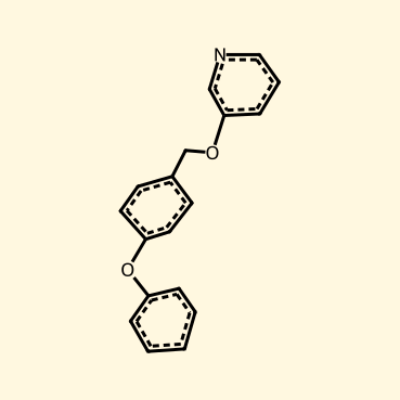 c1ccc(Oc2ccc(COc3cccnc3)cc2)cc1